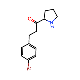 O=C(CCc1ccc(Br)cc1)C1CCCN1